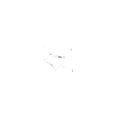 CCCCc1nnn(C(C)C)c1CCC